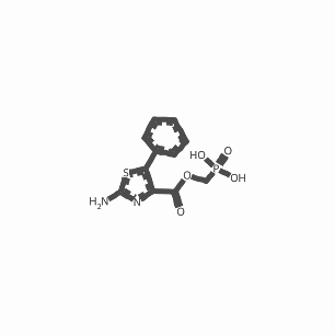 Nc1nc(C(=O)OCP(=O)(O)O)c(-c2ccccc2)s1